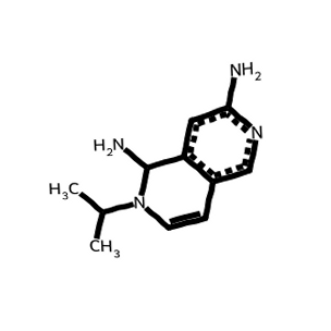 CC(C)N1C=Cc2cnc(N)cc2C1N